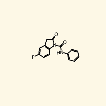 O=C1Cc2cc(F)ccc2N1C(=O)Nc1ccccc1